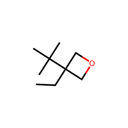 CCC1(C(C)(C)C)COC1